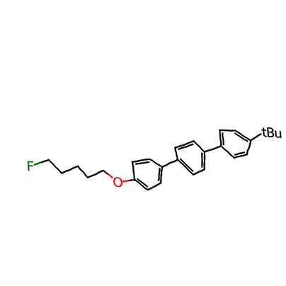 CC(C)(C)c1ccc(-c2ccc(-c3ccc(OCCCCCF)cc3)cc2)cc1